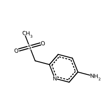 CS(=O)(=O)Cc1ccc(N)cn1